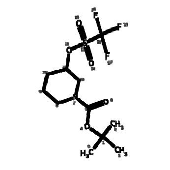 CC(C)(C)OC(=O)N1CCCC(OS(=O)(=O)C(F)(F)F)C1